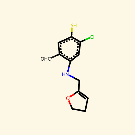 O=Cc1cc(S)c(Cl)cc1NCC1=CCCO1